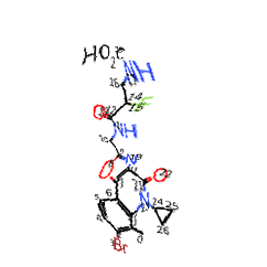 Cc1c(Br)ccc2c3oc(CNC(=O)C(F)CNC(=O)O)nc3c(=O)n(C3CC3)c12